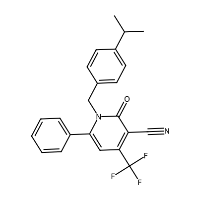 CC(C)c1ccc(Cn2c(-c3ccccc3)cc(C(F)(F)F)c(C#N)c2=O)cc1